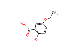 CCOc1ccc([O])c(C(=O)O)c1